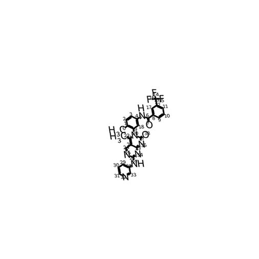 Cc1ccc(NC(=O)c2cccc(C(F)(F)F)c2)cc1-n1c(C)c2cnc(Nc3cccnc3)nc2nc1=O